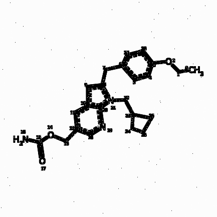 CCOc1ccc(Cc2cc3cc(COC(N)=O)cnc3n2CC2CCC2)cc1